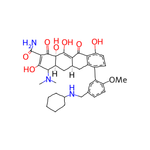 COc1ccc(CNC2CCCCC2)cc1-c1ccc(O)c2c1C[C@H]1C[C@H]3C(N(C)C)C(O)=C(C(N)=O)C(=O)[C@@]3(O)C(O)=C1C2=O